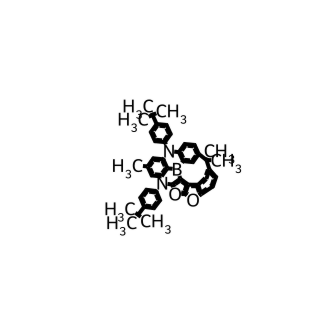 Cc1cc2c3c(c1)N(c1ccc(C(C)(C)C)cc1)c1oc4oc5ccc6cc5c4c1B3c1cc(ccc1N2c1ccc(C(C)(C)C)cc1)C6(C)C